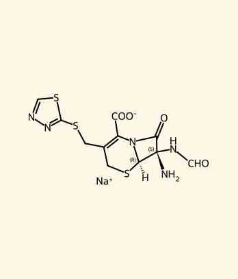 N[C@]1(NC=O)C(=O)N2C(C(=O)[O-])=C(CSc3nncs3)CS[C@@H]21.[Na+]